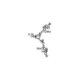 COc1cc2c(Nc3ccc(Br)cc3F)ncnc2cc1OCC1CCN(C(=O)OCCN(CCOC(=O)NCCN)CCOC(=O)N2CCC(COc3cc4ncnc(Nc5ccc(Br)cc5F)c4cc3OC)CC2)CC1